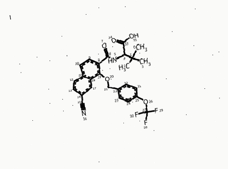 CC(C)(C)C(NC(=O)c1ccc2ccc(C#N)cc2c1OCc1ccc(OC(F)(F)F)cc1)C(=O)O